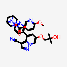 COc1ccc(C(=O)N2CC3CC(C2)N3c2ccc(-c3cc(OCC(C)(C)O)cn4ncc(C#N)c34)cn2)cn1